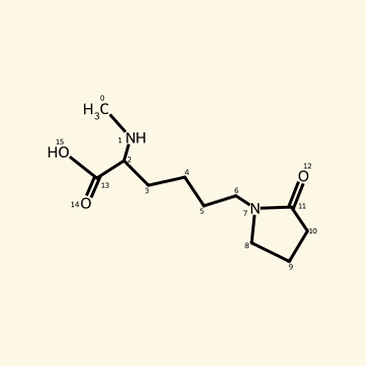 CNC(CCCCN1CCCC1=O)C(=O)O